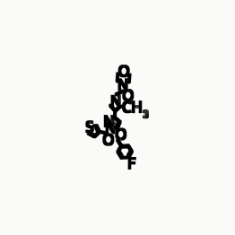 CC1C(c2cc(OCc3ccc(F)cc3)n(C(=O)c3ccsc3)n2)CN1CC(=O)N1CCOCC1